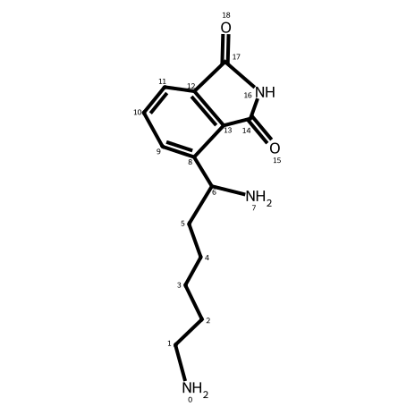 NCCCCCC(N)c1cccc2c1C(=O)NC2=O